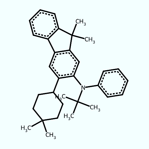 CC1(C)CCC(c2cc3c(cc2N(c2ccccc2)C(C)(C)C)C(C)(C)c2ccccc2-3)CC1